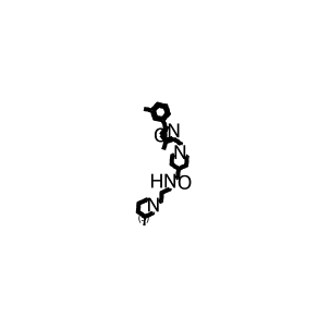 Cc1cccc(-c2nc(CN3CCC(C(=O)NCCCN4CCC[C@H](C)C4)CC3)c(C)o2)c1